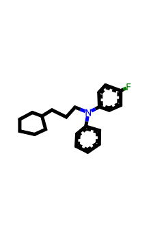 Fc1ccc(N(CCCC2CCCCC2)c2ccccc2)cc1